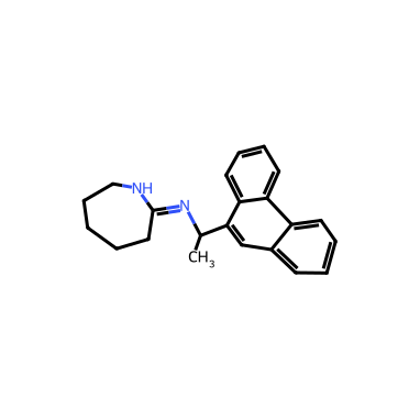 CC(N=C1CCCCCN1)c1cc2ccccc2c2ccccc12